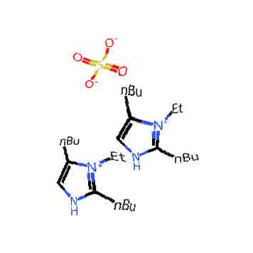 CCCCc1c[nH]c(CCCC)[n+]1CC.CCCCc1c[nH]c(CCCC)[n+]1CC.O=S(=O)([O-])[O-]